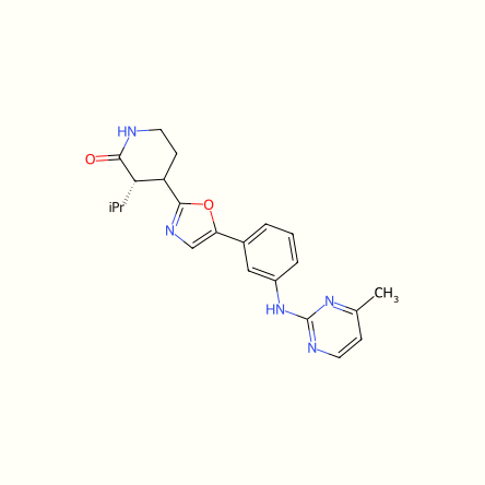 Cc1ccnc(Nc2cccc(-c3cnc(C4CCNC(=O)[C@H]4C(C)C)o3)c2)n1